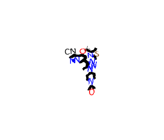 Cc1nc([C@@H](C)Oc2cc(-c3nnn(C4CCN(C5COC5)CC4)c3C)cn3ncc(C#N)c23)c(C)s1